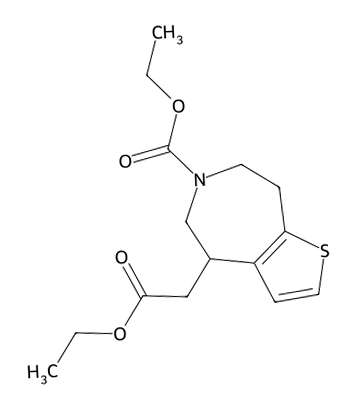 CCOC(=O)CC1CN(C(=O)OCC)CCc2sccc21